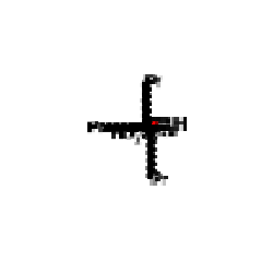 CC(=O)C(C(=O)O)C(OCCCCCCCCCCCC(C)C)(C(=O)O)C(CCCCCCCCCCCC(C)C)(CCCCCCCCCCCC(C)C)C(=O)O